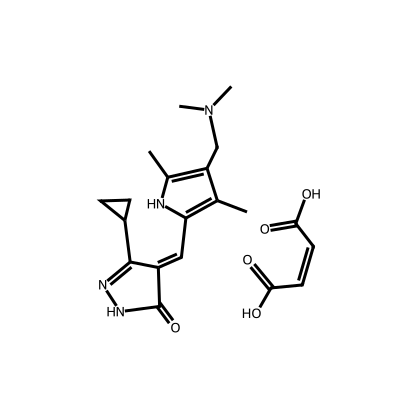 Cc1[nH]c(/C=C2/C(=O)NN=C2C2CC2)c(C)c1CN(C)C.O=C(O)/C=C\C(=O)O